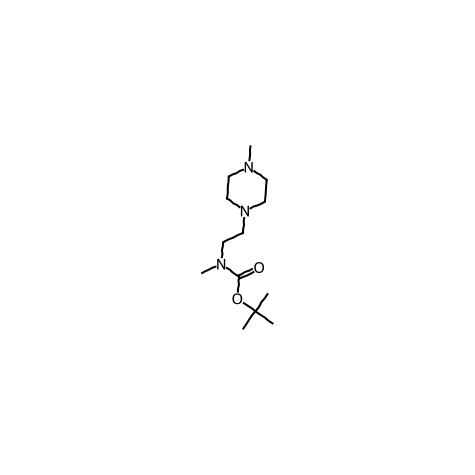 CN1CCN(CCN(C)C(=O)OC(C)(C)C)CC1